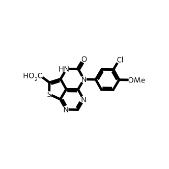 COc1ccc(N2C(=O)Nc3c(C(=O)O)sc4ncnc2c34)cc1Cl